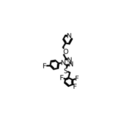 Fc1ccc(-n2c(COCc3ccncc3)nnc2SCc2c(F)ccc(F)c2F)cc1